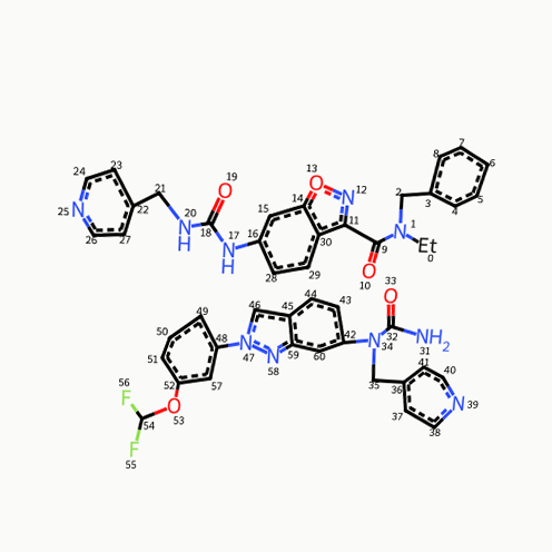 CCN(Cc1ccccc1)C(=O)c1noc2cc(NC(=O)NCc3ccncc3)ccc12.NC(=O)N(Cc1ccncc1)c1ccc2cn(-c3cccc(OC(F)F)c3)nc2c1